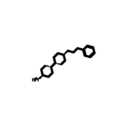 CCC[C@H]1CC[C@H]([C@H]2CC[C@H](CCCc3ccccc3)CC2)CC1